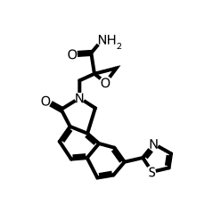 NC(=O)C1(CN2Cc3c(ccc4ccc(-c5nccs5)cc34)C2=O)CO1